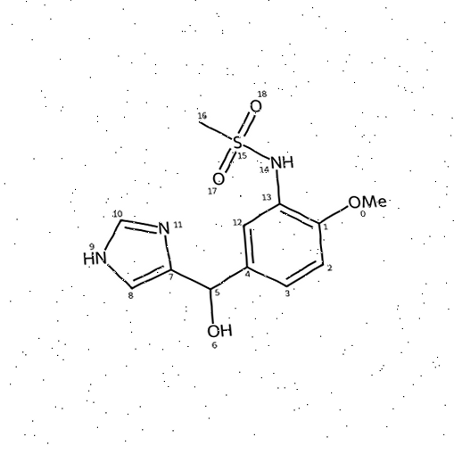 COc1ccc(C(O)c2c[nH]cn2)cc1NS(C)(=O)=O